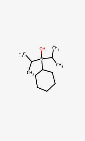 CC(C)[Si](O)(C(C)C)C1CCCCC1